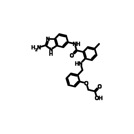 Cc1ccc(NCc2ccccc2OCC(=O)O)c(C(=O)Nc2ccc3nc(N)[nH]c3c2)c1